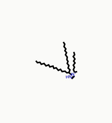 CCCCCCCCCCCCCCCCC(CCCCCCCCCCCCCC)c1[nH]cc[n+]1C(C)CCCCCCCCC